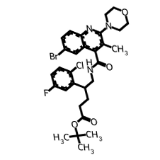 Cc1c(N2CCOCC2)nc2ccc(Br)cc2c1C(=O)NCC(CCC(=O)OC(C)(C)C)c1cc(F)ccc1Cl